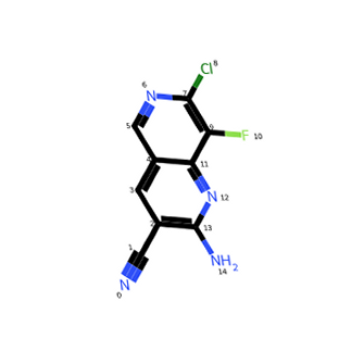 N#Cc1cc2cnc(Cl)c(F)c2nc1N